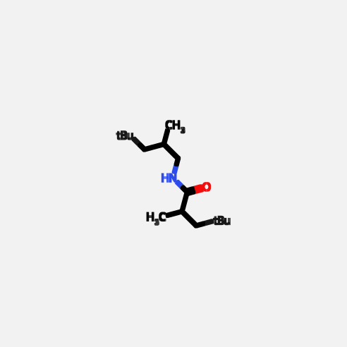 CC(CNC(=O)C(C)CC(C)(C)C)CC(C)(C)C